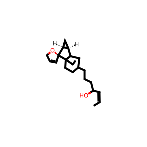 C/C=C\C(O)CCCC1CCC2(CC)C(C1)[C@@H]1C[C@@H]1[C@@]21C=CCO1